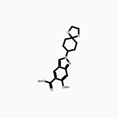 COC(=O)c1cc2cn(C3CCC4(CC3)OCCO4)nc2cc1OC